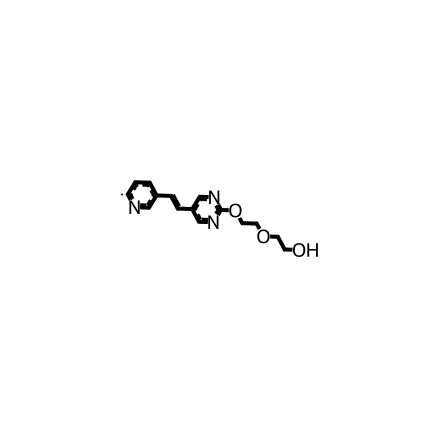 OCCOCCOc1ncc(/C=C/c2cc[c]nc2)cn1